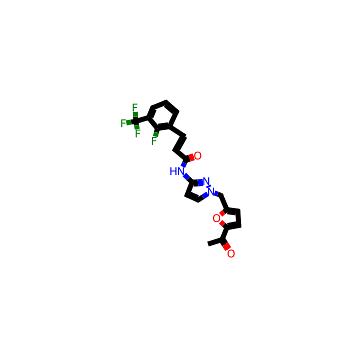 CC(=O)c1ccc(Cn2ccc(NC(=O)C=Cc3cccc(C(F)(F)F)c3F)n2)o1